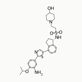 CC(C)Oc1ccc(-c2ncc(-c3cccc4c3CC[C@@H]4NS(=O)(=O)CCN3CCC(O)CC3)s2)cc1N